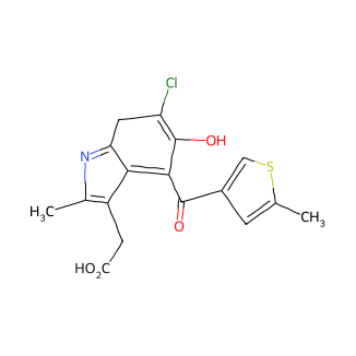 CC1=C(CC(=O)O)C2=C(C(=O)c3csc(C)c3)C(O)=C(Cl)CC2=N1